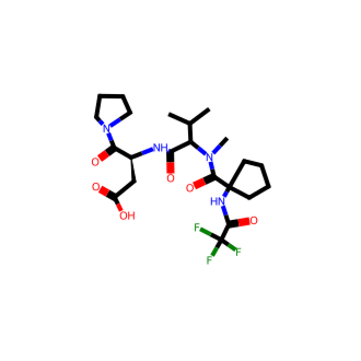 CC(C)C(C(=O)N[C@@H](CC(=O)O)C(=O)N1CCCC1)N(C)C(=O)C1(NC(=O)C(F)(F)F)CCCC1